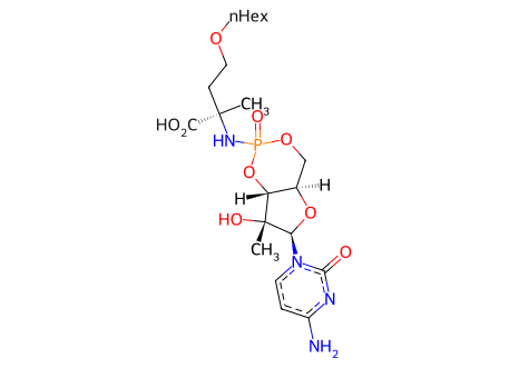 CCCCCCOCC[C@@](C)(NP1(=O)OC[C@H]2O[C@@H](n3ccc(N)nc3=O)[C@](C)(O)[C@@H]2O1)C(=O)O